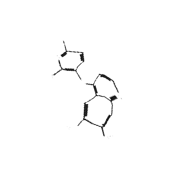 COc1cc2nccc(Oc3ccc(F)nc3I)c2cc1OC